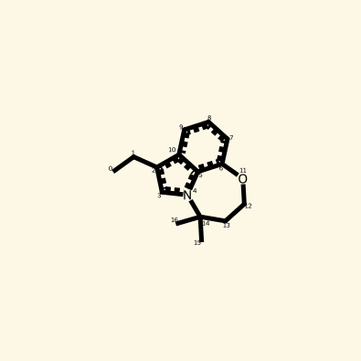 CCc1cn2c3c(cccc13)OCCC2(C)C